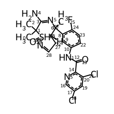 CC1(C)C(N)=N[C@](C)(c2cc(NC(=O)c3ncc(Cl)cc3Cl)ccc2F)[C@@H]2CC=N[SH]21=O